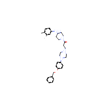 Cc1ccc(NC2CCN(C(=O)CCN3CCN(c4ccc(OCc5ccccc5)cc4)CC3)CC2)cc1C(F)(F)F